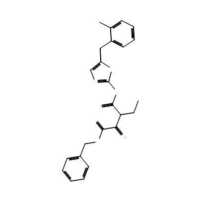 CCC(C(=N)C(=O)OCc1ccccc1)C(=O)Nc1ncc(Cc2ccccc2Cl)s1